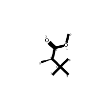 COC(=O)[C@H](C)C(C)(C)C